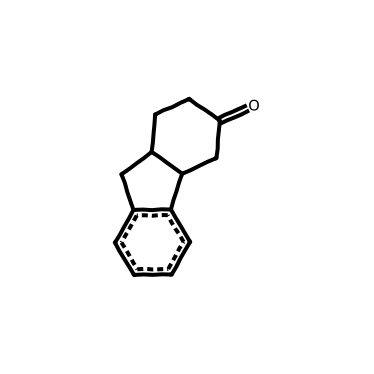 O=C1CCC2Cc3ccccc3C2C1